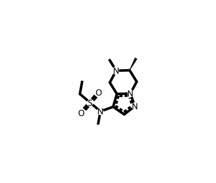 CCS(=O)(=O)N(C)c1cnn2c1CN(C)[C@@H](C)C2